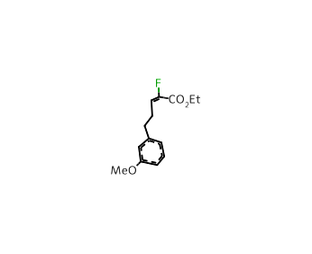 CCOC(=O)/C(F)=C\CCc1cccc(OC)c1